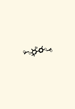 CC1=C(Br)C(c2ccc(OCC3CO3)c(C)c2)=CC(C)(C)C1OCC1CO1